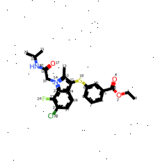 CCOC(=O)c1cccc(Sc2c(C)n(CC(=O)NC(C)C)c3c(F)c(Cl)ccc23)c1